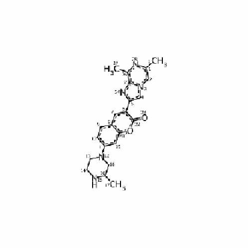 Cc1cn2cc(-c3cc4ccc(N5CCNC(C)C5)cc4oc3=O)nc2c(C)n1